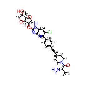 CC(C)[C@H](N)C(=O)N1CCC(C#Cc2ccc(-c3nc4nc(O[C@@H]5CO[C@H]6[C@@H]5OC[C@H]6O)[nH]c4cc3Cl)cc2)CC1